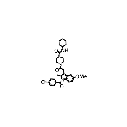 COc1ccc2c(c1)c(CC(=O)N1CCN(C(=O)NC3CCCCC3)CC1)c(C)n2C(=O)c1ccc(Cl)cc1